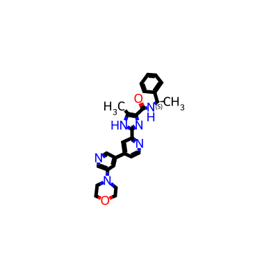 Cc1[nH]c(-c2cc(-c3cncc(N4CCOCC4)c3)ccn2)nc1C(=O)N[C@@H](C)c1ccccc1